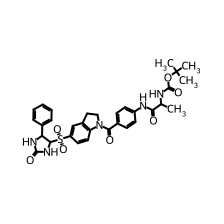 CC(NC(=O)OC(C)(C)C)C(=O)Nc1ccc(C(=O)N2CCc3cc(S(=O)(=O)C4NC(=O)NC4c4ccccc4)ccc32)cc1